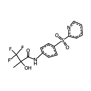 CC(O)(C(=O)Nc1ccc(S(=O)(=O)c2ccccn2)cc1)C(F)(F)F